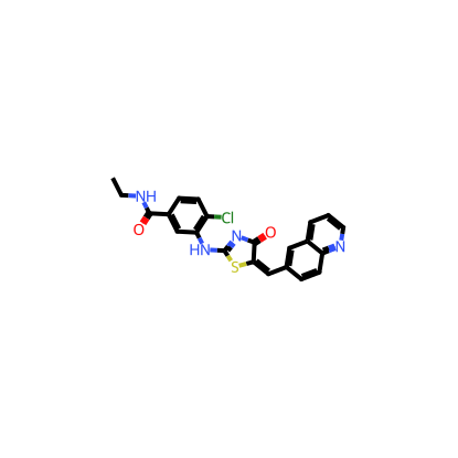 CCNC(=O)c1ccc(Cl)c(NC2=NC(=O)C(=Cc3ccc4ncccc4c3)S2)c1